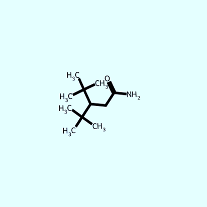 CC(C)(C)C(CC(N)=O)C(C)(C)C